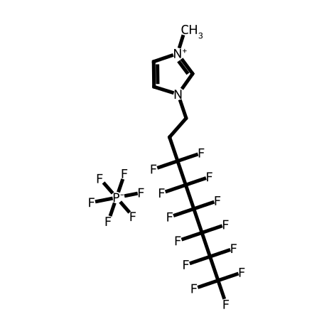 C[n+]1ccn(CCC(F)(F)C(F)(F)C(F)(F)C(F)(F)C(F)(F)C(F)(F)F)c1.F[P-](F)(F)(F)(F)F